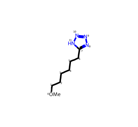 COCCCCCCc1nnn[nH]1